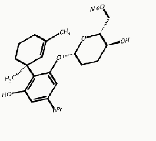 CCCc1cc(O)c([C@]2(C)C=C(C)CCC2)c(O[C@H]2CC[C@H](O)[C@@H](COC)O2)c1